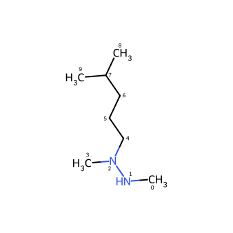 CNN(C)CCCC(C)C